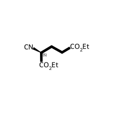 [C-]#[N+][C@@H](CCC(=O)OCC)C(=O)OCC